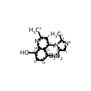 Cc1cc(-n2c([N+](=O)[O-])cnc2C)c2c([N+](=O)[O-])ccc(O)c2n1